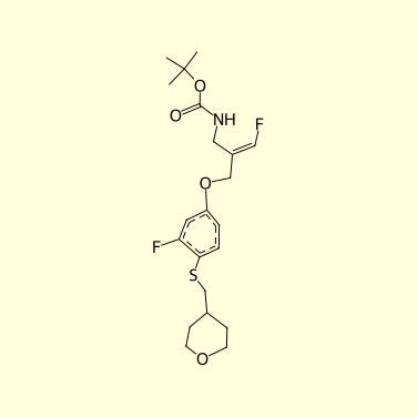 CC(C)(C)OC(=O)NC/C(=C\F)COc1ccc(SCC2CCOCC2)c(F)c1